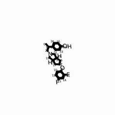 CC(CN1C[C@H]2C[C@H](Oc3ccc(F)cc3F)C[C@H]2C1)c1ccc(O)cc1